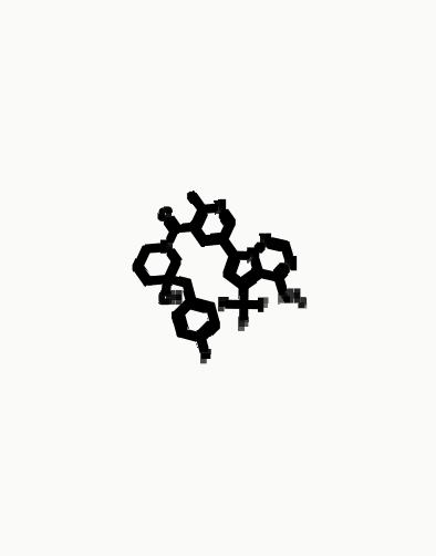 Cc1ncc(-c2cc(C(F)(F)F)c3c(N)ncnn23)cc1C(=O)N1CCCC(O)(Cc2ccc(F)cc2)C1